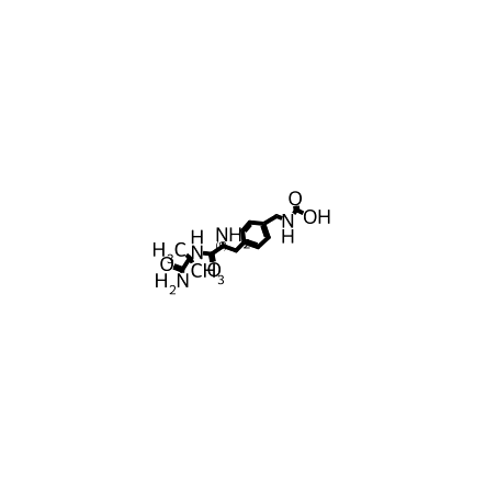 CC(C)(NC(=O)[C@@H](N)Cc1ccc(CNC(=O)O)cc1)C(N)=O